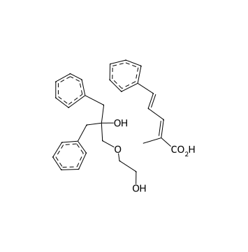 CC(=CC=Cc1ccccc1)C(=O)O.OCCOCC(O)(Cc1ccccc1)Cc1ccccc1